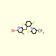 Cc1cc(Br)ncc1C(Sc1ccc(C(F)(F)F)cn1)c1cc(F)ccc1F